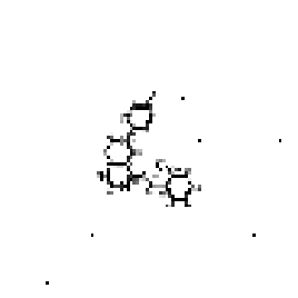 Cc1ccc(N2CCc3ncnc(NCc4ccccc4Cl)c3C2)nc1